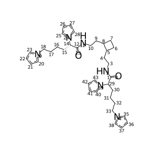 O=C(NCCC1CCC1CCNC(=O)[C@H](CCCCn1cccc1)n1cccc1)C(CCCCn1cccc1)n1cccc1